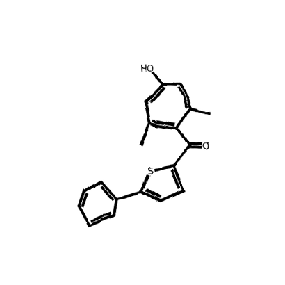 Cc1cc(O)cc(C)c1C(=O)c1ccc(-c2ccccc2)s1